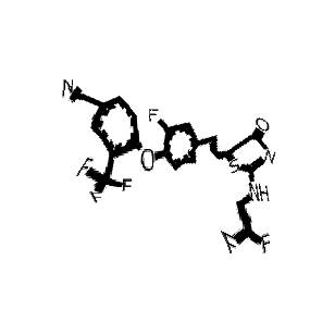 N#Cc1ccc(Oc2ccc(/C=C3\SC(NCC(F)F)=NC3=O)cc2F)c(C(F)(F)F)c1